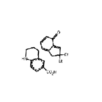 CCC1(CC)C=C2C(=O)C=CC=C2C1.O=C(O)c1ccc2c(c1)CCCN2